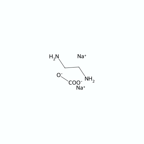 NCCN.O=C([O-])[O-].[Na+].[Na+]